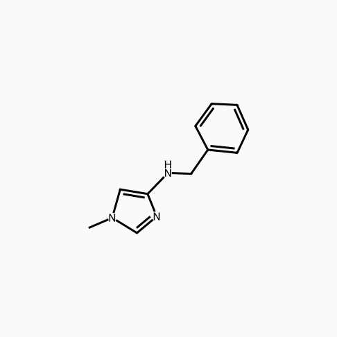 Cn1cnc(NCc2ccccc2)c1